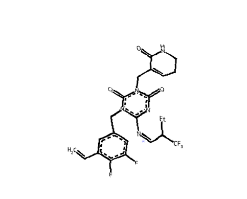 C=Cc1cc(Cn2c(/N=C\C(CC)C(F)(F)F)nc(=O)n(CC3=CCCNC3=O)c2=O)cc(F)c1F